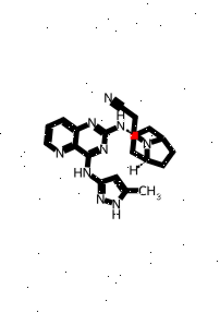 Cc1cc(Nc2nc(N[C@@H]3CC4CC[C@@H](C3)N4CCC#N)nc3cccnc23)n[nH]1